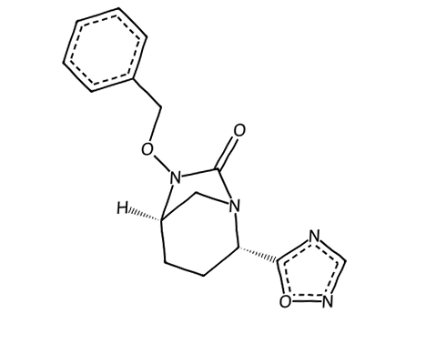 O=C1N2C[C@@H](CC[C@H]2c2ncno2)N1OCc1ccccc1